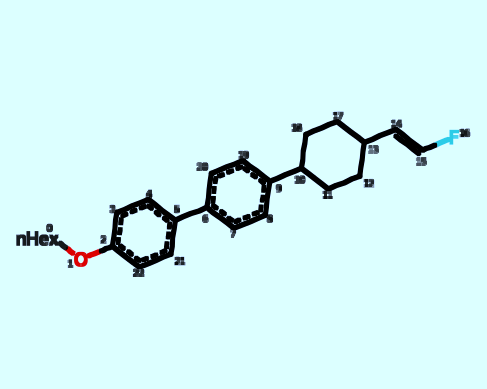 CCCCCCOc1ccc(-c2ccc(C3CCC(C=CF)CC3)cc2)cc1